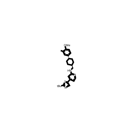 COc1ccc([C@H]2CC[C@H](CNc3cc(-c4cnc(C(C)(C)C)s4)ccn3)CC2)cc1C